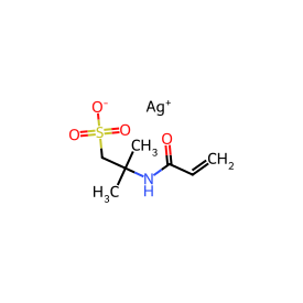 C=CC(=O)NC(C)(C)CS(=O)(=O)[O-].[Ag+]